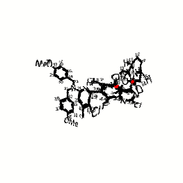 CCCCCC(C)(C)OC(=O)N1[C@@H]2CC[C@H]1[C@H]1COc3c(Cl)c(-c4nc(N(Cc5ccc(OC)cc5)Cc5ccc(OC)cc5)cc(C)c4Cl)c(F)c4nc(Cl)nc(c34)N1C2